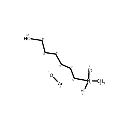 CC(=O)[O-].CC[N+](C)(CC)CCCCCCO